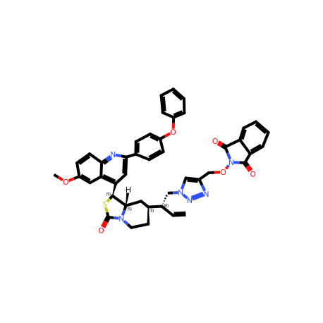 C=C[C@@H](Cn1cc(CON2C(=O)c3ccccc3C2=O)nn1)[C@H]1CCN2C(=O)S[C@@H](c3cc(-c4ccc(Oc5ccccc5)cc4)nc4ccc(OC)cc34)[C@@H]2C1